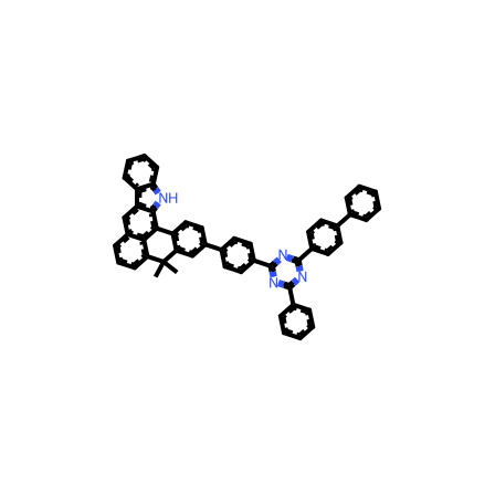 CC1(C)c2cc(-c3ccc(-c4nc(-c5ccccc5)nc(-c5ccc(-c6ccccc6)cc5)n4)cc3)ccc2-c2c3[nH]c4ccccc4c3cc3cccc1c23